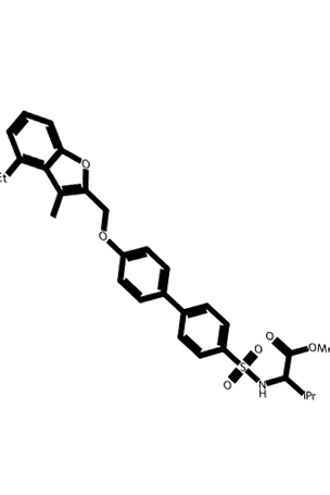 CCc1cccc2oc(COc3ccc(-c4ccc(S(=O)(=O)NC(C(=O)OC)C(C)C)cc4)cc3)c(C)c12